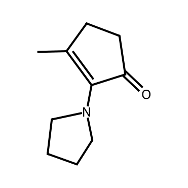 CC1=C(N2CCCC2)C(=O)CC1